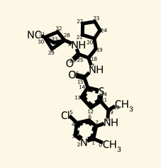 Cc1ncc(Cl)cc1NC(C)c1ccc(C(=O)NC(CC2CCCC2)C(=O)NC23CC(C#N)(C2)C3)s1